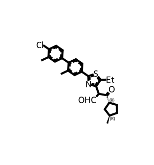 CCc1sc(-c2ccc(-c3ccc(Cl)c(C)c3)c(C)c2)nc1C(C=O)C(=O)[C@@H]1CC[C@@H](C)C1